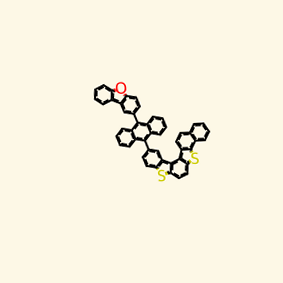 c1ccc2c(c1)ccc1c2sc2ccc3sc4ccc(-c5c6ccccc6c(-c6ccc7oc8ccccc8c7c6)c6ccccc56)cc4c3c21